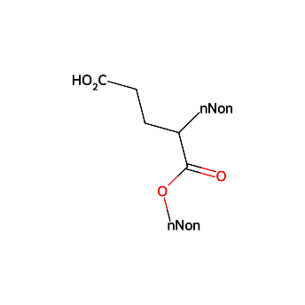 CCCCCCCCCOC(=O)C(CCCCCCCCC)CCC(=O)O